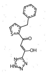 O=C(C=C(O)c1nn[nH]n1)c1sccc1Cc1ccccc1